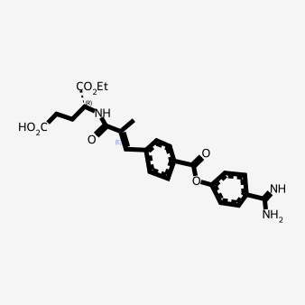 CCOC(=O)[C@@H](CCC(=O)O)NC(=O)/C(C)=C/c1ccc(C(=O)Oc2ccc(C(=N)N)cc2)cc1